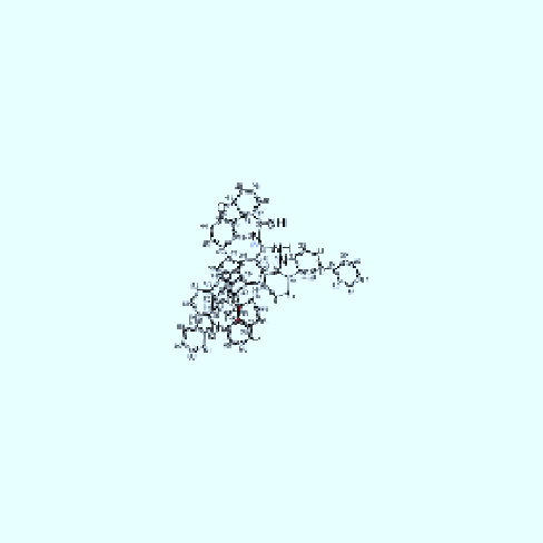 N=C(/N=C(\NN1C2=CC=CCC2c2cc(-c3ccccc3)ccc21)c1ccc2c(c1)oc1ccccc12)c1cccc2oc3ccc(-c4ccc5c(c4)c4ccc6c7ccccc7n(-c7ccccc7)c6c4n5-c4ccccc4)cc3c12